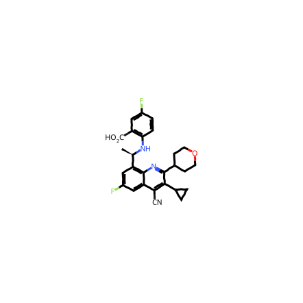 C[C@@H](Nc1ccc(F)cc1C(=O)O)c1cc(F)cc2c(C#N)c(C3CC3)c(C3CCOCC3)nc12